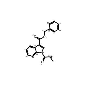 CNC(=O)n1cc(C(=O)OCc2ccccc2)c2ccccc21